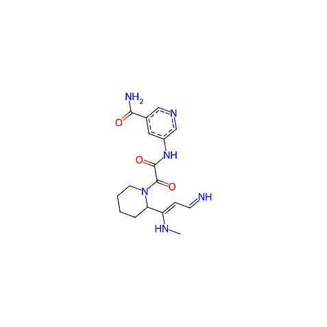 CN/C(=C\C=N)C1CCCCN1C(=O)C(=O)Nc1cncc(C(N)=O)c1